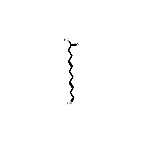 N=CCC=CCCC=CCCC(=O)O